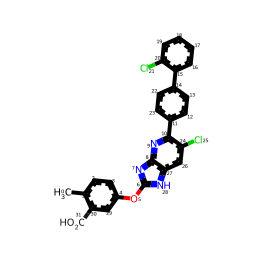 Cc1ccc(Oc2nc3nc(-c4ccc(-c5ccccc5Cl)cc4)c(Cl)cc3[nH]2)cc1C(=O)O